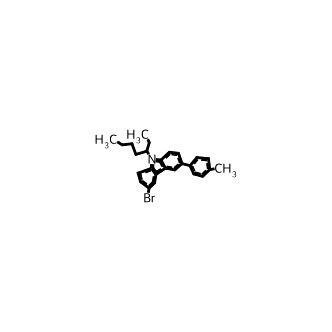 CCCCC(CC)n1c2ccc(Br)cc2c2cc(-c3ccc(C)cc3)ccc21